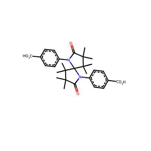 CC1(C)C(=O)N(c2ccc(C(=O)O)cc2)C2(N(c3ccc(C(=O)O)cc3)C(=O)C(C)(C)C2(C)C)C1(C)C